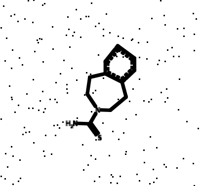 NC(=S)N1CCc2ccccc2CC1